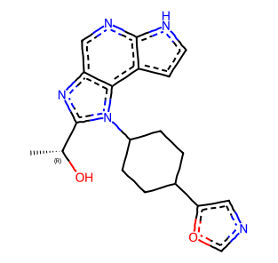 C[C@@H](O)c1nc2cnc3[nH]ccc3c2n1C1CCC(c2cnco2)CC1